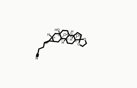 C[C@]12CC[C@H]3[C@@H](CC[C@@]4(O)C[C@H]5/C(=C/CCC#N)C5C[C@]34C)[C@@H]1CCC21OCCO1